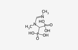 CN=CN(C)C(P(=O)(O)O)P(=O)(O)O